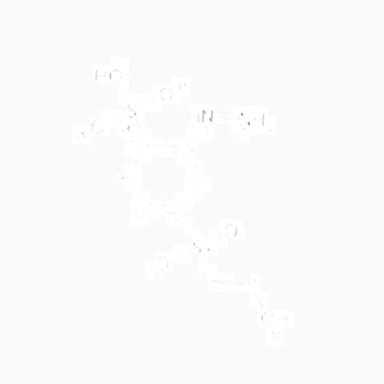 NNc1cc(S(=O)(=O)CCO)ccc1S(=O)(=O)O